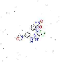 CONC(=O)c1ccccc1Nc1nc(Nc2cccc(N3CCOCC3)c2)ncc1C(F)(F)F